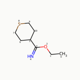 CCOC(=N)C1CCSCC1